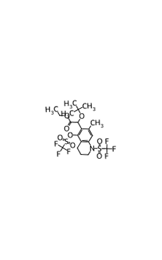 CCOC(=O)C(OC(C)(C)C)c1c(C)cc2c(c1OS(=O)(=O)C(F)(F)F)CCCN2S(=O)(=O)C(F)(F)F